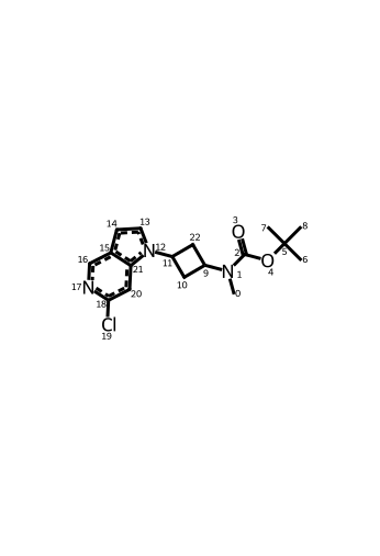 CN(C(=O)OC(C)(C)C)C1CC(n2ccc3cnc(Cl)cc32)C1